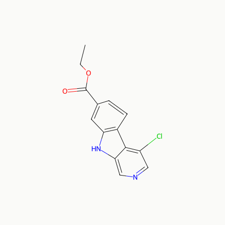 CCOC(=O)c1ccc2c(c1)[nH]c1cncc(Cl)c12